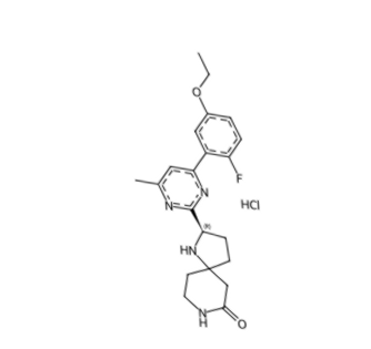 CCOc1ccc(F)c(-c2cc(C)nc([C@H]3CCC4(CCNC(=O)C4)N3)n2)c1.Cl